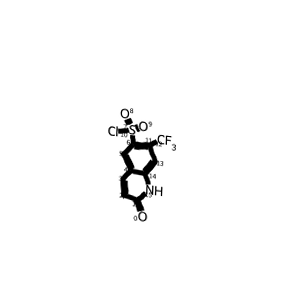 O=c1[c]cc2cc(S(=O)(=O)Cl)c(C(F)(F)F)cc2[nH]1